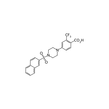 O=C(O)c1ccc(N2CCN(S(=O)(=O)c3ccc4ccccc4c3)CC2)cc1C(F)(F)F